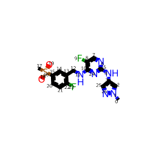 Cn1cc(Nc2ncc(F)c(NCc3cc(S(C)(=O)=O)ccc3F)n2)cn1